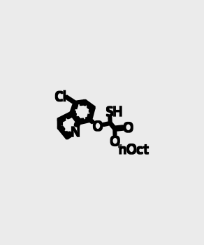 CCCCCCCCOC(=O)C(S)Oc1ccc(Cl)c2cccnc12